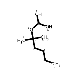 CCCCC(C)(C)OC(O)O